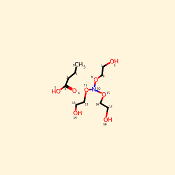 CCCC(=O)O.OCCON(OCCO)OCCO